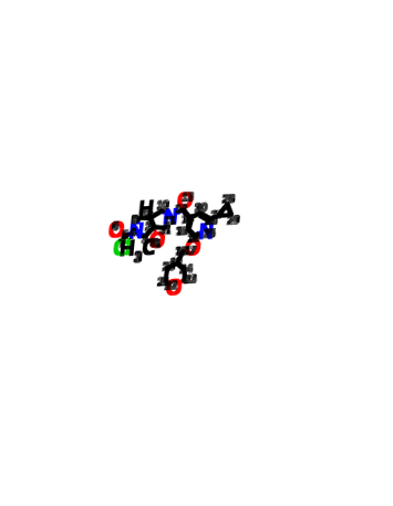 CO[C@]12CN(C(=O)Cl)C[C@@H]1CN(C(=O)c1cc(OCC3CCOCC3)nc(C3CC3)c1)C2